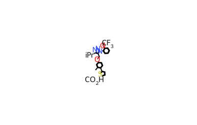 Cc1cc(OCc2c(C(C)C)nnn2-c2ccccc2OC(F)(F)F)ccc1-c1ccc(C(=O)O)s1